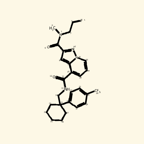 CN(CCF)C(=O)c1cc2c(C(=O)NCC3(c4ccc(C(F)(F)F)cc4)CCCCC3)cccn2n1